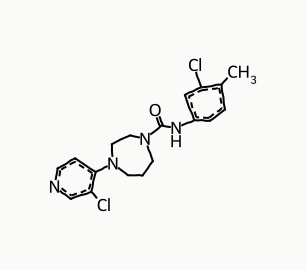 Cc1ccc(NC(=O)N2CCCN(c3ccncc3Cl)CC2)cc1Cl